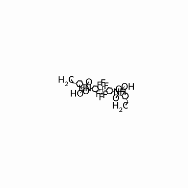 C=Cc1ccc(C(=O)Nc2ccc(C(c3ccc(NC(=O)c4cc(C=C)ccc4C(=O)O)cc3)(C(F)(F)F)C(F)(F)F)cc2)c(C(=O)O)c1